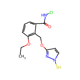 CCOc1cccc(C(=O)NCl)c1COc1ccn(S)n1